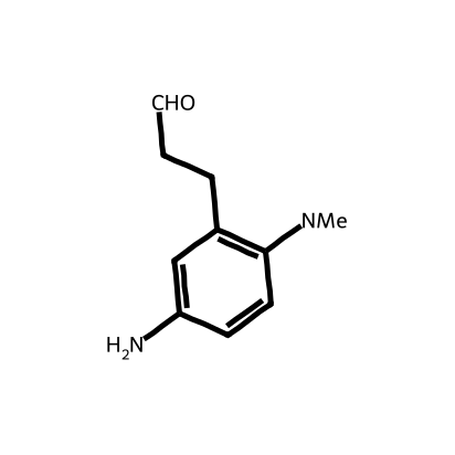 CNc1ccc(N)cc1CCC=O